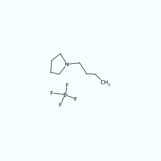 CCCCN1CCCC1.F[B-](F)(F)F